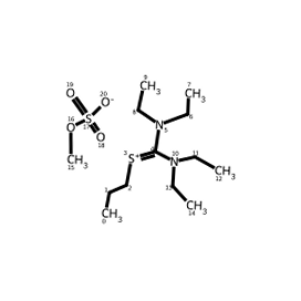 CCC[S+]=C(N(CC)CC)N(CC)CC.COS(=O)(=O)[O-]